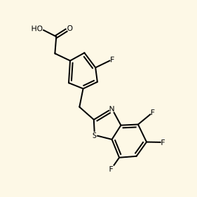 O=C(O)Cc1cc(F)cc(Cc2nc3c(F)c(F)cc(F)c3s2)c1